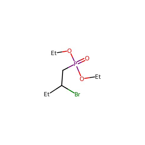 CCOP(=O)(CC(Br)CC)OCC